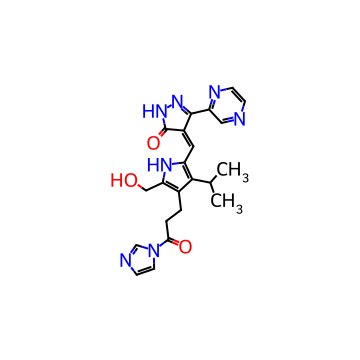 CC(C)c1c(C=C2C(=O)NN=C2c2cnccn2)[nH]c(CO)c1CCC(=O)n1ccnc1